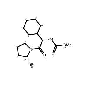 COC(=O)N[C@H](C(=O)N1CCC[C@H]1C(C)C)C1CCCCC1